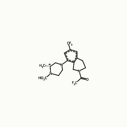 C[C@@H]1CN(c2cc(C(F)(F)F)cc3c2CN(C(=O)C(F)(F)F)CC3)CCN1C(=O)O